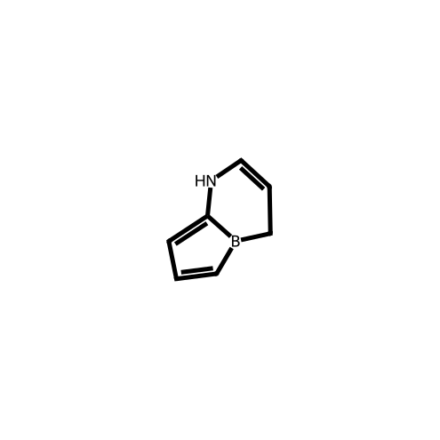 C1=CB2CC=CNC2=C1